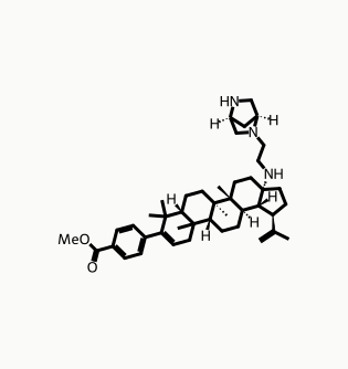 C=C(C)[C@@H]1CC[C@]2(NCCN3C[C@@H]4C[C@H]3CN4)CC[C@]3(C)[C@H](CC[C@@H]4C5(C)CC=C(c6ccc(C(=O)OC)cc6)C(C)(C)[C@@H]5CC[C@]43C)[C@@H]12